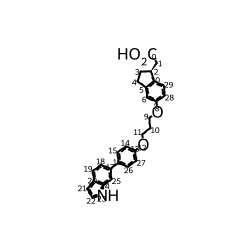 O=C(O)C[C@@H]1CCc2cc(OCCCOc3ccc(-c4ccc5cc[nH]c5c4)cc3)ccc21